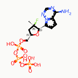 C[C@@]1(F)C[C@@H](COP(=O)(O)OP(=O)(O)OP(=O)(O)O)O[C@H]1c1ccc2c(N)ncnn12